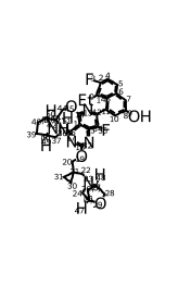 CCc1c(F)ccc2cc(O)cc(-c3nc4c5c(nc(OCC6(CN7C[C@@H]8C[C@H]7CO8)CC6)nc5c3F)N3C[C@H]5CC[C@H](N5)[C@H]3CO4)c12